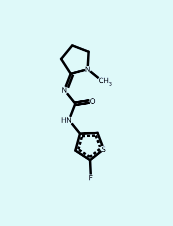 CN1CCC/C1=N/C(=O)Nc1csc(F)c1